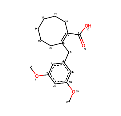 COc1cc(CC2=C(C(=O)O)CCCCCC2)cc(OC)c1